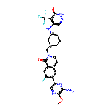 COc1ncc(-c2cc3ccn(C[C@@H]4CCC[C@H](Nc5cn[nH]c(=O)c5C(F)(F)F)C4)c(=O)c3cc2F)nc1N